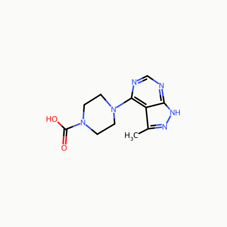 Cc1n[nH]c2ncnc(N3CCN(C(=O)O)CC3)c12